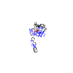 CCn1ccc(-c2ccc(-c3cnn4cc(C=O)c([C@]5(N)C[C@H]6CC[C@@H](C5)N6C(=O)c5nnc[nH]5)nc34)cn2)n1